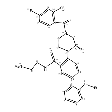 CCOc1ncccc1-c1ccc(N2CCN(C(=O)c3ccc(F)cc3C(F)(F)F)C[C@H]2CC)c(C(=O)NCCNC)n1